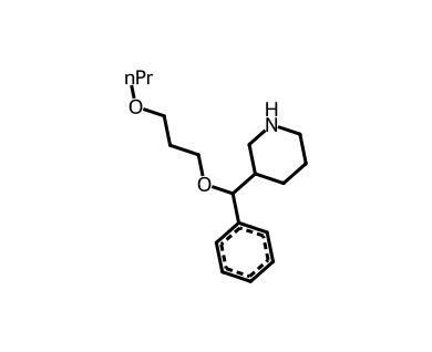 CCCOCCCOC(c1ccccc1)C1CCCNC1